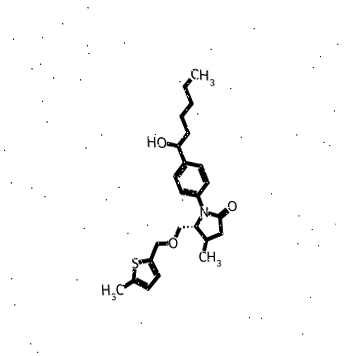 CCCCCC(O)c1ccc(N2C(=O)CC(C)[C@@H]2COCc2ccc(C)s2)cc1